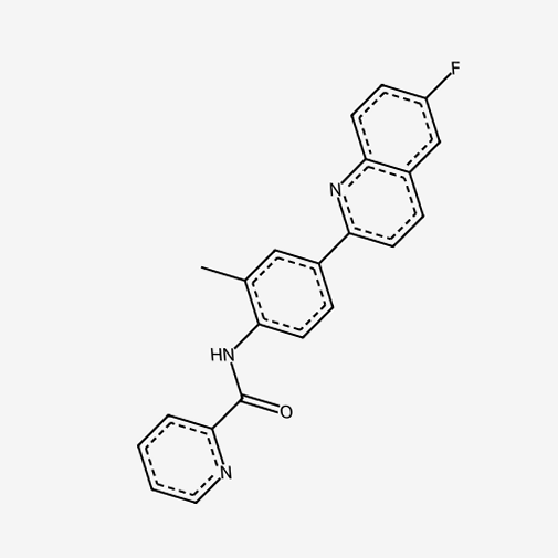 Cc1cc(-c2ccc3cc(F)ccc3n2)ccc1NC(=O)c1ccccn1